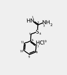 Cl.N=C(N)SCc1ccccc1